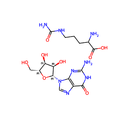 NC(=O)NCCCC(N)C(=O)O.Nc1nc2c(ncn2[C@@H]2O[C@H](CO)[C@@H](O)[C@H]2O)c(=O)[nH]1